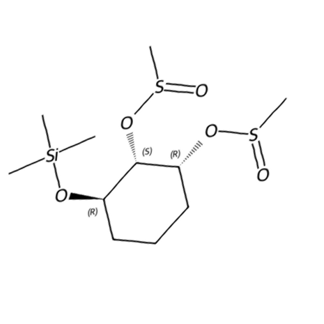 CS(=O)O[C@@H]1[C@H](OS(C)=O)CCC[C@H]1O[Si](C)(C)C